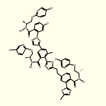 CCN(C(=O)c1ccc(CCc2nnc(-c3c(C)cc(-c4cnn(-c5cc(Cl)ccc5C(=O)N(CC)[C@@H](C)COc5ccc(Cl)cn5)n4)cc3C(=O)N(CC)[C@@H](C)COc3ccc(Cl)cn3)o2)cc1-c1nnc(C)o1)[C@@H](C)COc1ccc(Cl)cn1